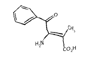 CC(C(=O)O)=C(N)C(=O)c1ccccc1